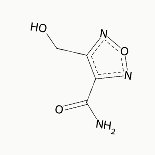 NC(=O)c1nonc1CO